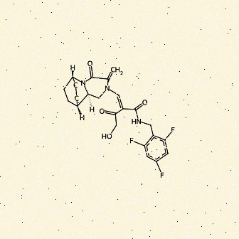 C=C1C(=O)N2[C@H]3CC[C@H](CC3)[C@@H]2CN1/C=C(\C(=O)CO)C(=O)NCc1c(F)cc(F)cc1F